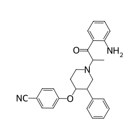 CC(C(=O)c1ccccc1N)N1CCC(Oc2ccc(C#N)cc2)C(c2ccccc2)C1